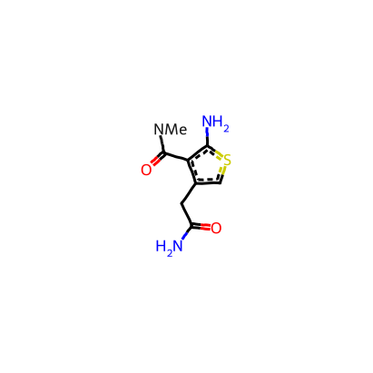 CNC(=O)c1c(CC(N)=O)csc1N